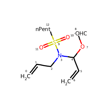 C=CCN(C(C=C)O[C]=O)S(=O)(=O)CCCCC